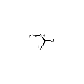 [CH2]CCNC(C)CC